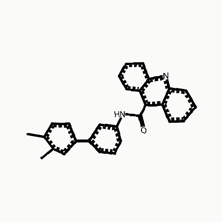 Cc1ccc(-c2cccc(NC(=O)c3c4ccccc4nc4ccccc34)c2)cc1C